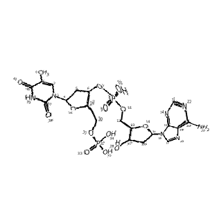 Cc1cn(C2CC(OP(=O)(O)OCC3OC(n4cnc5c(N)ncnc54)CC3O)C(COP(=O)(O)O)O2)c(=O)[nH]c1=O